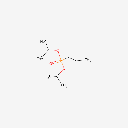 CCCP(=O)(OC(C)C)OC(C)C